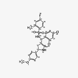 COc1ccc(C2CC(C(NS(=O)(=O)c3ccc(F)cc3C)c3ccc(Cl)cc3Cl)=NN2)cc1